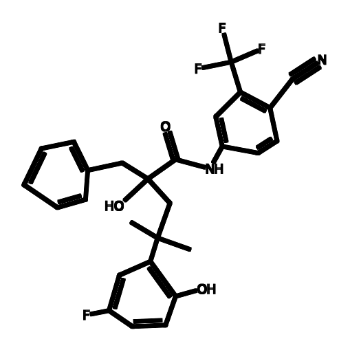 CC(C)(CC(O)(Cc1ccccc1)C(=O)Nc1ccc(C#N)c(C(F)(F)F)c1)c1cc(F)ccc1O